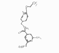 CC(=O)Nc1cc(C(=O)NCc2ccc(OCC(F)(F)F)nc2)cc(C)n1